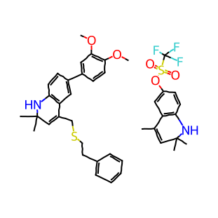 CC1=CC(C)(C)Nc2ccc(OS(=O)(=O)C(F)(F)F)cc21.COc1ccc(-c2ccc3c(c2)C(CSCCc2ccccc2)=CC(C)(C)N3)cc1OC